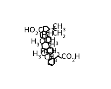 C=C(C)[C@@H]1CC[C@]2(C(=O)O)CC[C@]3(C)[C@H](CC[C@@H]4[C@@]5(C)CC=C(c6ccccc6CCC(=O)O)C(C)(C)[C@@H]5CC[C@]43C)[C@@H]12